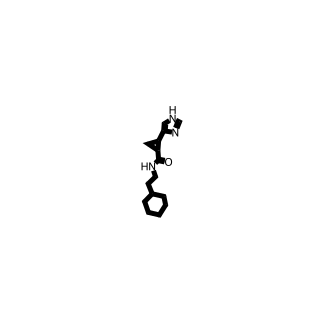 O=C(NCCC1CCCCC1)C1CC1c1c[nH]cn1